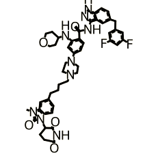 Cn1c(=O)n(C2CCC(=O)NC2=O)c2ccc(CCCCN3CCN(c4ccc(C(=O)Nc5n[nH]c6ccc(Cc7cc(F)cc(F)c7)cc56)c(NC5CCOCC5)c4)CC3)cc21